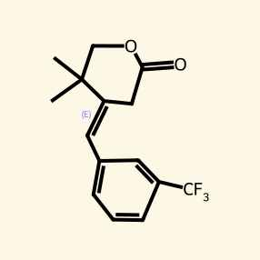 CC1(C)COC(=O)C/C1=C\c1cccc(C(F)(F)F)c1